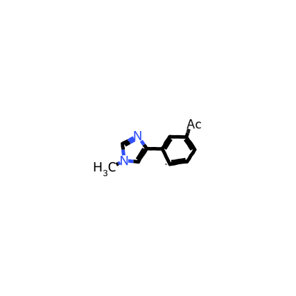 CC(=O)c1cc[c]c(-c2cn(C)cn2)c1